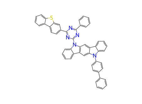 c1ccc(-c2ccc(-n3c4ccccc4c4cc5c(cc43)c3ccccc3n5-c3nc(-c4ccccc4)nc(-c4ccc5c(c4)sc4ccccc45)n3)cc2)cc1